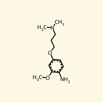 COc1cc(OCCCN(C)C)ccc1N